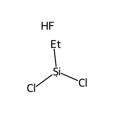 CC[Si](Cl)Cl.F